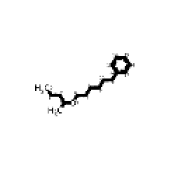 CCCC(C)OCCCCCCc1ccccc1